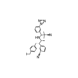 C[C@H](NC(c1cccc(-n2cncn2)c1)C(C)(C)C#N)[C@@H](Cc1ccc(CI)cc1)c1cccc(C#N)c1